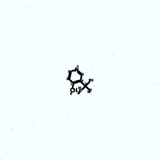 Cc1ccncc1C(F)(F)F